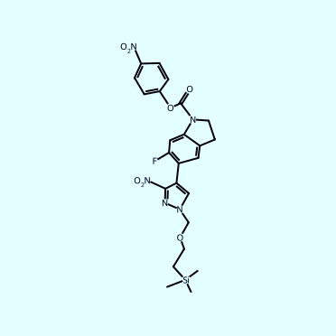 C[Si](C)(C)CCOCn1cc(-c2cc3c(cc2F)N(C(=O)Oc2ccc([N+](=O)[O-])cc2)CC3)c([N+](=O)[O-])n1